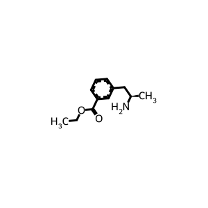 CCOC(=O)c1cccc(C[C@@H](C)N)c1